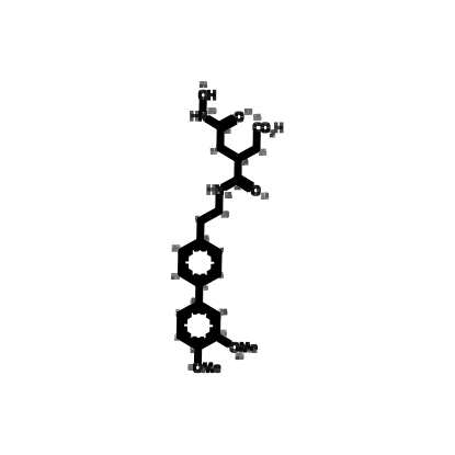 COc1ccc(-c2ccc(CCNC(=O)C(CC(=O)O)CC(=O)NO)cc2)cc1OC